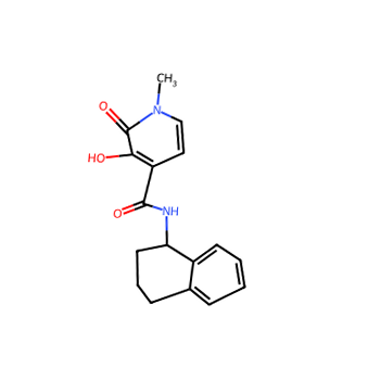 Cn1ccc(C(=O)NC2CCCc3ccccc32)c(O)c1=O